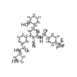 N#Cc1c(-c2cccc(C(=O)NC3CCNC3)c2)cc(-c2ccccc2O)nc1NC(=O)c1ccc(C(F)(F)F)cc1